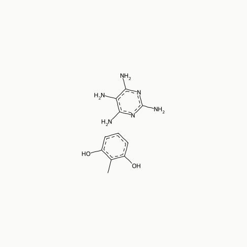 Cc1c(O)cccc1O.Nc1nc(N)c(N)c(N)n1